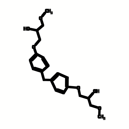 COCC(O)COc1ccc(Cc2ccc(OCC(O)COC)cc2)cc1